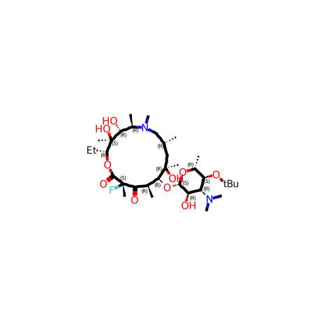 CC[C@H]1OC(=O)[C@@](C)(F)C(=O)[C@H](C)[C@@H](O[C@@H]2O[C@H](C)[C@@H](OC(C)(C)C)[C@H](N(C)C)[C@H]2O)[C@](C)(O)C[C@@H](C)CN(C)[C@H](C)[C@@H](O)[C@]1(C)O